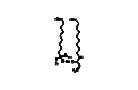 C=CC(=O)NCCCCCCCCCCCCCCCCCC.CCCCCCCCCCCCCCCCCC[Si](OCC)(OCC)OCC